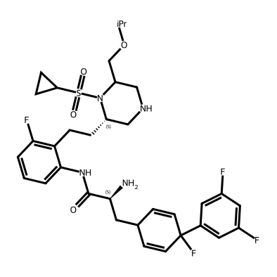 CC(C)OCC1CNC[C@H](CCc2c(F)cccc2NC(=O)[C@@H](N)CC2C=CC(F)(c3cc(F)cc(F)c3)C=C2)N1S(=O)(=O)C1CC1